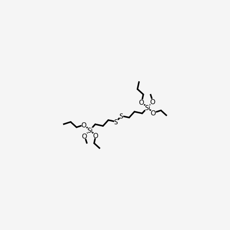 CCCO[Si](CCCSSCCC[Si](OC)(OCC)OCCC)(OC)OCC